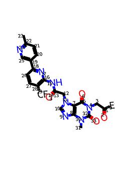 CCC(=O)Cn1c(=O)c2c(ncn2CC(=O)Nc2nc(-c3ccc(C)nc3)ccc2C(F)(F)F)n(C)c1=O